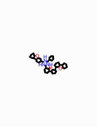 c1ccc(C2NC(c3ccc4c(c3)oc3ccccc34)NC(c3cccc4c3oc3c(-c5cccc6c5oc5ccccc56)cccc34)N2)cc1